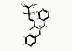 CC(/C=C/C(C)(C)C(=O)O)N(Cc1ccccc1)Cc1ccccc1